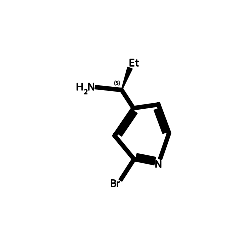 CC[C@H](N)c1ccnc(Br)c1